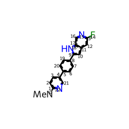 CNc1ccc(-c2ccc(-c3cc4cc(F)ncc4[nH]3)cc2)cn1